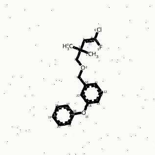 CC(C)(/C=C(\F)Cl)COCc1cccc(Oc2ccccc2)c1